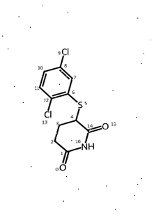 O=C1CCC(Sc2cc(Cl)ccc2Cl)C(=O)N1